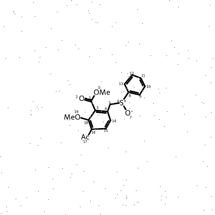 COC(=O)c1c(C[S+]([O-])c2ccccc2)ccc(C(C)=O)c1OC